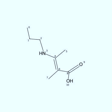 CCCN/C(C)=C(\C)C(=O)O